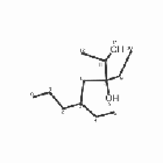 CCCC(CC)CC(O)(CC)C(C)O